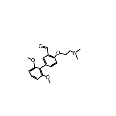 COc1cccc(OC)c1-c1ccc(OCCN(C)C)c(C=O)c1